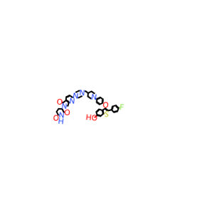 O=C1CCC(N2Cc3nc(N4CCN(CC5CCN(c6ccc(Oc7c(-c8ccc(F)cc8)sc8cc(O)ccc78)cc6)CC5)CC4)ccc3C2=O)C(=O)N1